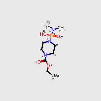 CNCOC(=O)N1CCN(P(=O)(O)N(C)C)CC1